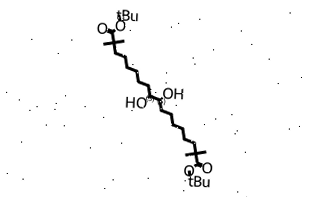 CC(C)(C)OC(=O)C(C)(C)CCCCCC[C@H](O)[C@@H](O)CCCCCCC(C)(C)C(=O)OC(C)(C)C